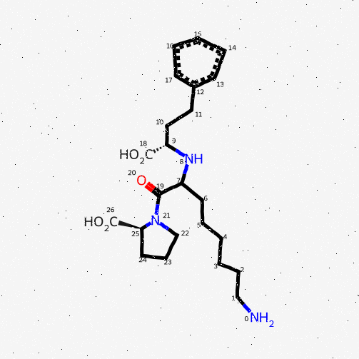 NCCCCCCC(N[C@@H](CCc1ccccc1)C(=O)O)C(=O)N1CCC[C@H]1C(=O)O